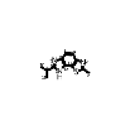 Cc1nc2ccc3nc(C(C)C)[nH]c3c2s1